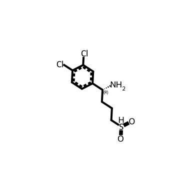 N[C@H](CCC[SH](=O)=O)c1ccc(Cl)c(Cl)c1